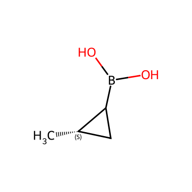 C[C@H]1CC1B(O)O